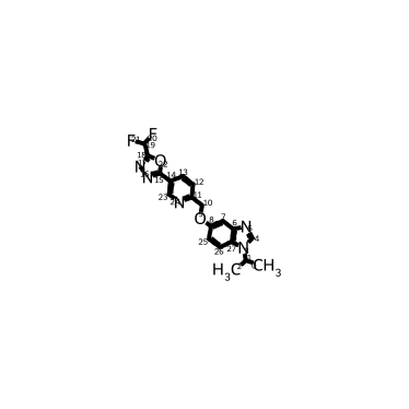 CC(C)n1cnc2cc(OCc3ccc(-c4nnc(C(F)F)o4)cn3)ccc21